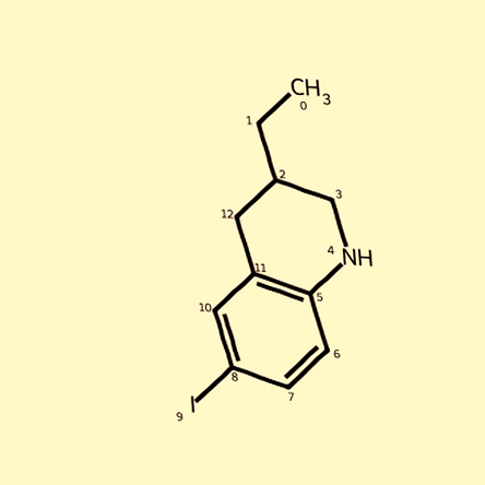 CCC1CNc2ccc(I)cc2C1